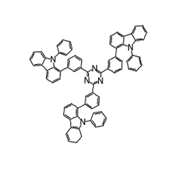 C1=Cc2c(n(-c3ccccc3)c3c(-c4cccc(-c5nc(-c6cccc(-c7cccc8c9ccccc9n(-c9ccccc9)c78)c6)nc(-c6cccc(-c7cccc8c9ccccc9n(-c9ccccc9)c78)c6)n5)c4)cccc23)CC1